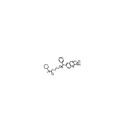 CN(C(=O)CCCCON=C(c1ccccc1)c1ccc2c(c1)CN1CC(=O)NC1=N2)C1CCCCC1